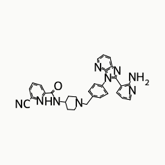 N#Cc1cccc(C(=O)NC2CCN(Cc3ccc(-n4c(-c5cccnc5N)nc5cccnc54)cc3)CC2)n1